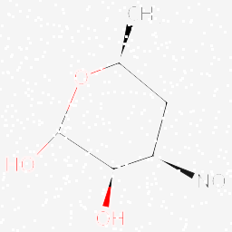 C[C@H]1C[C@@H](N=O)[C@@H](O)C(O)O1